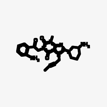 CC#CCn1c(N2CCCC(N)C2)nc2c1c(=O)n(CC(=O)c1ccccc1N)c(=O)n2C